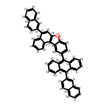 c1ccc2cc(-c3c4ccccc4c(-c4ccc5oc6cc(-c7ccc8ccccc8c7)c7ccccc7c6c5c4)c4ccccc34)ccc2c1